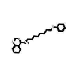 c1ccc(OCCCCCCCCNc2ncnc3ccccc23)cc1